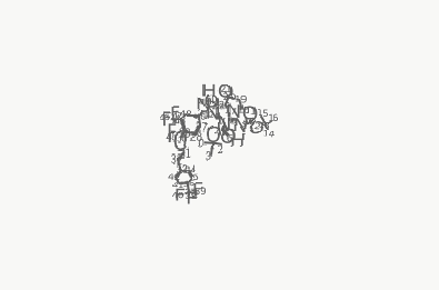 CC(C)(C)OC(=O)/N=C(\NC(=O)OC(C)(C)C)N1CC[C@H](O)[C@H]1c1nc(-c2ccc(OCCc3ccc(C(F)(F)F)cc3)c(C(F)(F)F)c2)no1